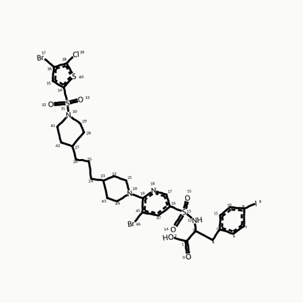 O=C(O)C(Cc1ccc(I)cc1)NS(=O)(=O)c1cnc(N2CCC(CCCC3CCN(S(=O)(=O)c4cc(Br)c(Cl)s4)CC3)CC2)c(Br)c1